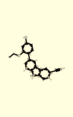 CCOc1cc(Cl)ccc1-c1cnc2[nH]c3cnc(C#N)cc3c2c1